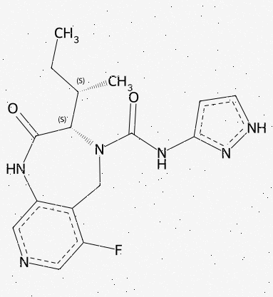 CC[C@H](C)[C@H]1C(=O)Nc2cncc(F)c2CN1C(=O)Nc1cc[nH]n1